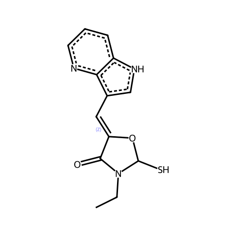 CCN1C(=O)/C(=C/c2c[nH]c3cccnc23)OC1S